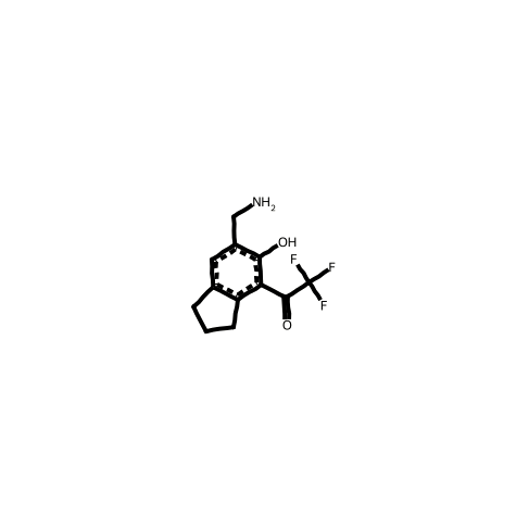 NCc1cc2c(c(C(=O)C(F)(F)F)c1O)CCC2